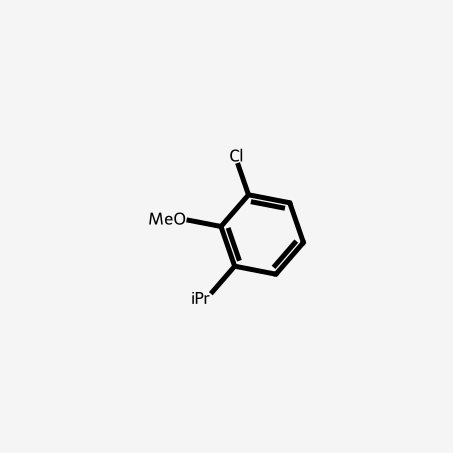 COc1c(Cl)cccc1C(C)C